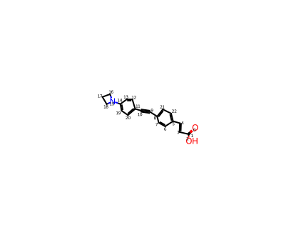 O=C(O)C=Cc1ccc(C#Cc2ccc(N3CCC3)cc2)cc1